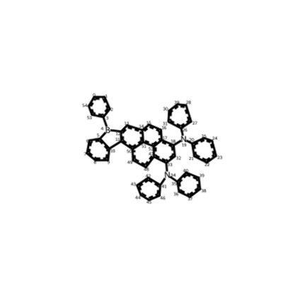 c1ccc(B2c3ccccc3-c3c2cc2ccc4c(N(c5ccccc5)c5ccccc5)cc(N(c5ccccc5)c5ccccc5)c5ccc3c2c45)cc1